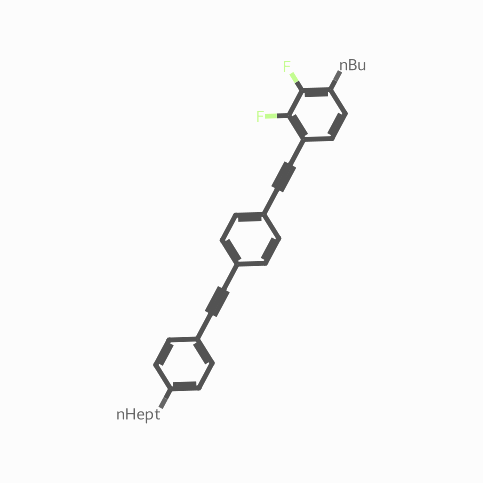 CCCCCCCc1ccc(C#Cc2ccc(C#Cc3ccc(CCCC)c(F)c3F)cc2)cc1